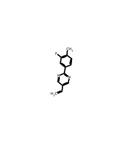 C=Cc1cnc(-c2ccc(C)c(F)c2)nc1